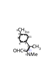 CN/C(C=O)=C(\C)c1ccc(C)cc1